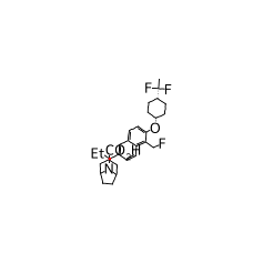 CCC(c1ccc2c(CF)c(O[C@H]3CC[C@@H](C(C)(F)F)CC3)ccc2c1)N1C2CCC1CC(C(=O)O)C2